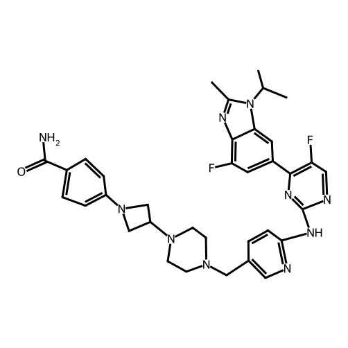 Cc1nc2c(F)cc(-c3nc(Nc4ccc(CN5CCN(C6CN(c7ccc(C(N)=O)cc7)C6)CC5)cn4)ncc3F)cc2n1C(C)C